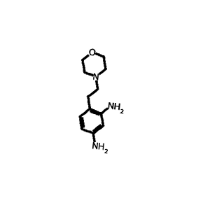 Nc1ccc(CCN2CCOCC2)c(N)c1